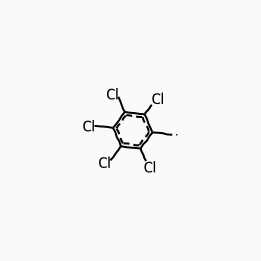 [CH2]c1c(Cl)c(Cl)c(Cl)c(Cl)c1Cl